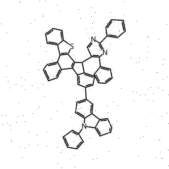 c1ccc(-c2ncc(C3c4ccc(-c5ccc6c(c5)c5ccccc5n6-c5ccccc5)cc4-c4c3c3sc5ccccc5c3c3ccccc43)c(-c3ccccc3)n2)cc1